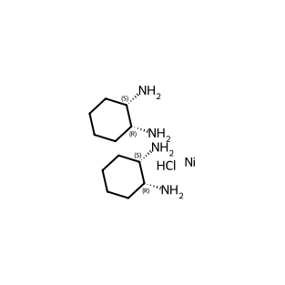 Cl.N[C@@H]1CCCC[C@@H]1N.N[C@@H]1CCCC[C@@H]1N.[Ni]